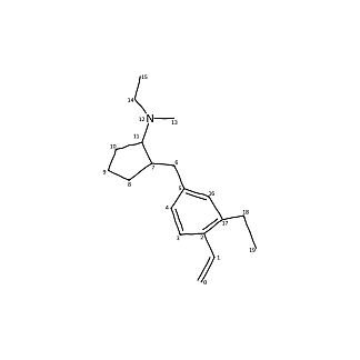 C=Cc1ccc(CC2CCCC2N(C)CC)cc1CC